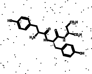 N[C@@H](Cc1ccc(O)cc1)C(=O)N[C@@H](Cc1ccc(O)cc1)C(=O)N[C@@H](CC(=O)O)C(=O)O